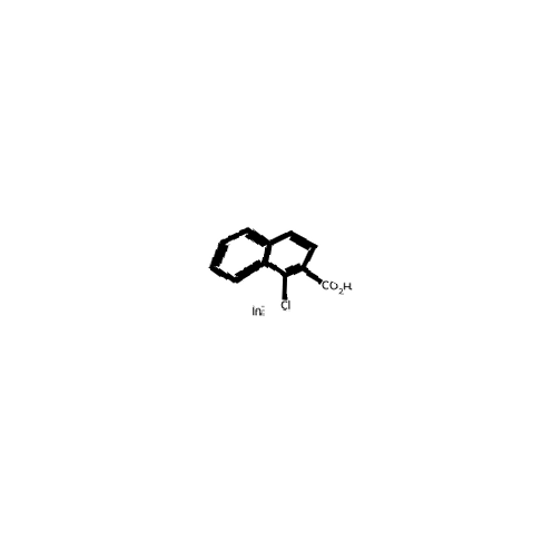 O=C(O)c1ccc2ccccc2c1Cl.[In]